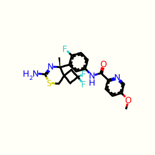 COc1ccc(C(=O)Nc2ccc(F)c([C@@]3(C)N=C(N)SCC34CC(F)(F)C4)c2)nc1